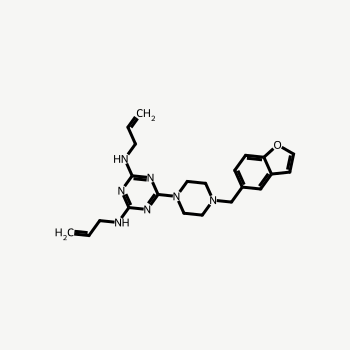 C=CCNc1nc(NCC=C)nc(N2CCN(Cc3ccc4occc4c3)CC2)n1